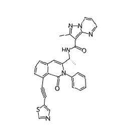 Cc1nn2cccnc2c1C(=O)N[C@H](C)c1cc2cccc(C#Cc3cncs3)c2c(=O)n1-c1ccccc1